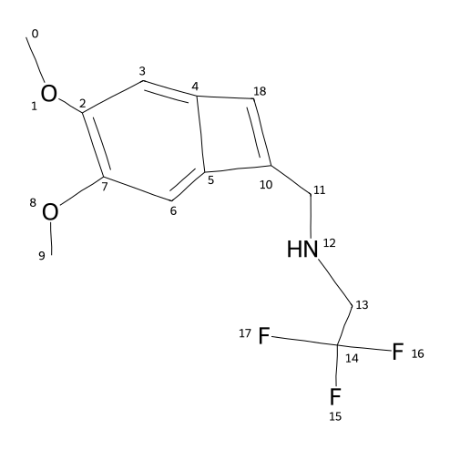 COc1cc2c(cc1OC)C(CNCC(F)(F)F)=C2